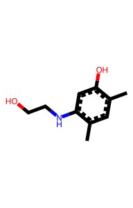 Cc1cc(C)c(NCCO)cc1O